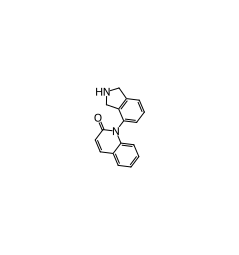 O=c1ccc2ccccc2n1-c1cccc2c1CNC2